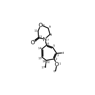 COC1=C(C)C=C(N2CCOCC2=O)C=C[C@@H]1C